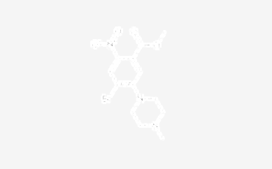 COC(=O)c1cc(N2CCN(C)CC2)c(Br)cc1[N+](=O)[O-]